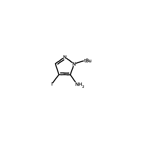 CC(C)(C)n1ncc(I)c1N